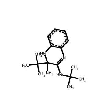 CC(C)(C)NC1=Nc2ccccc2NC1(N)C(C)(C)C